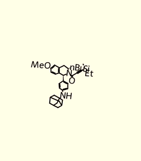 CCCC[C@H]1Cc2cc(OC)ccc2[C@H](c2ccc(NC34CC5CC(CC(C5)C3)C4)cc2)N1C(=O)C#C[Si](C)(C)CC